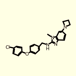 Cn1c(NCc2ccc(Oc3ccc(Cl)cc3)cc2)nc2ccc(N3CCC3)cc21